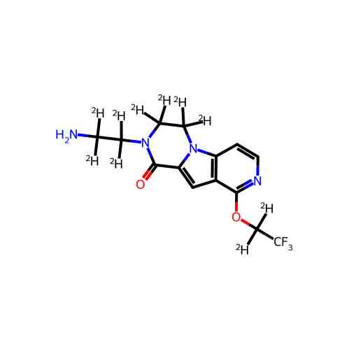 [2H]C([2H])(N)C([2H])([2H])N1C(=O)c2cc3c(OC([2H])([2H])C(F)(F)F)nccc3n2C([2H])([2H])C1([2H])[2H]